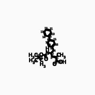 C/C(=C\C(Cc1ccc(-c2ccccc2)cc1)NC(=O)OC(C)(C)C)C(=O)O